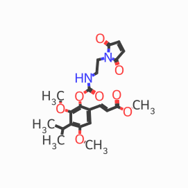 COC(=O)/C=C/c1cc(OC)c(C(C)C)c(OC)c1OC(=O)NCCN1C(=O)C=CC1=O